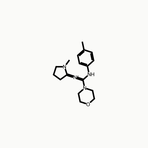 Cc1ccc(NC(=[N+]=C2CCCN2C)N2CCOCC2)cc1